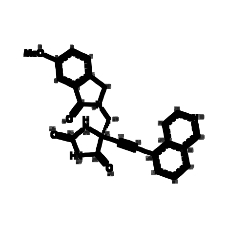 COc1ccc2c(c1)C(=O)N(C[C@@]1(C#Cc3cccc4cnccc34)NC(=O)NC1=O)C2